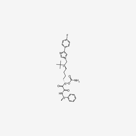 C[C@@H](NC(=O)C(=O)[C@H](CCCC[C@H](Cn1cnc(-c2ccc(F)cc2)c1)C(C)(C)C)OC(N)=O)c1ccccc1